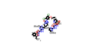 C#CCOc1cc(-n2nc3n(c2=O)CCCC3)c(Cl)cc1Cl.CCS(=O)(=O)c1cccnc1S(=O)(=O)NC(=O)Nc1nc(OC)cc(OC)n1.COc1nc(C)nc(NC(=O)NS(=O)(=O)c2ccccc2CCC(F)(F)F)n1